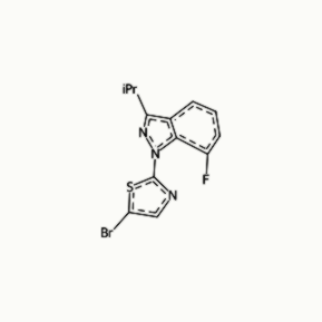 CC(C)c1nn(-c2ncc(Br)s2)c2c(F)cccc12